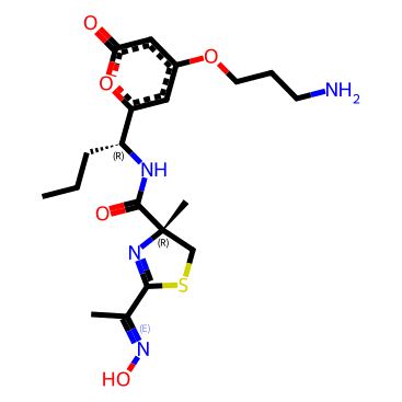 CCC[C@@H](NC(=O)[C@]1(C)CSC(/C(C)=N/O)=N1)c1cc(OCCCN)cc(=O)o1